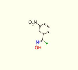 O=[N+]([O-])c1cccc(C(F)=NO)c1